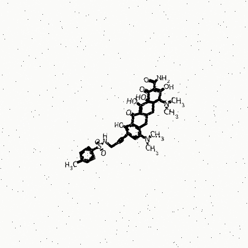 Cc1ccc(S(=O)(=O)NCC#Cc2cc(N(C)C)c3c(c2O)C(=O)C2=C(O)C4(O)C(=O)C(C(N)=O)=C(O)C(N(C)C)C4CC2C3)cc1